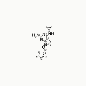 Nc1nc(NC2CC2)c2ncn(OCC3C=CCC3)c2n1